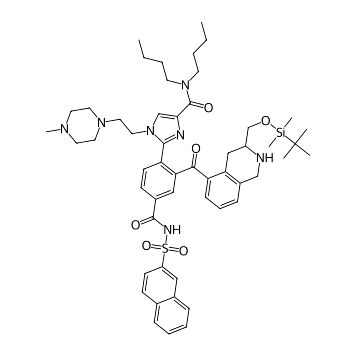 CCCCN(CCCC)C(=O)c1cn(CCN2CCN(C)CC2)c(-c2ccc(C(=O)NS(=O)(=O)c3ccc4ccccc4c3)cc2C(=O)c2cccc3c2CC(CO[Si](C)(C)C(C)(C)C)NC3)n1